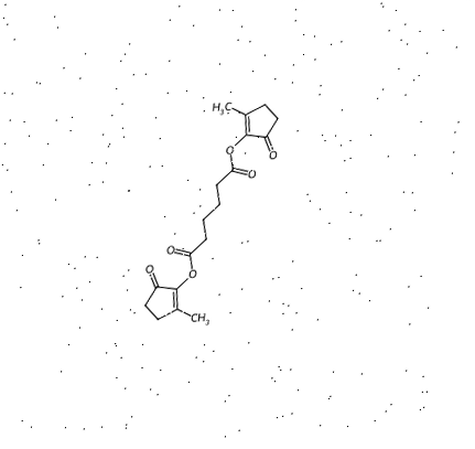 CC1=C(OC(=O)CCCCC(=O)OC2=C(C)CCC2=O)C(=O)CC1